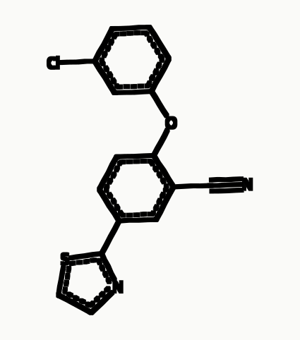 N#Cc1cc(-c2nccs2)ccc1Oc1cccc(Cl)c1